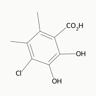 Cc1c(C)c(C(=O)O)c(O)c(O)c1Cl